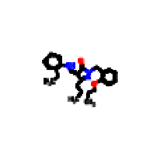 CCCOc1ccccc1CN1N=C(CCC)/C(=C/Nc2ccccc2CC)C1=O